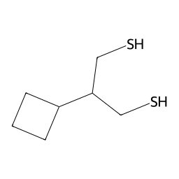 SCC(CS)C1CCC1